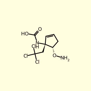 NO[C@H]1CC=C[C@@]1(CC(Cl)(Cl)Cl)NC(=O)O